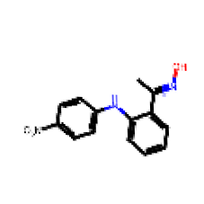 C/C(=N\O)c1ccccc1Nc1ccc([N+](=O)[O-])cc1